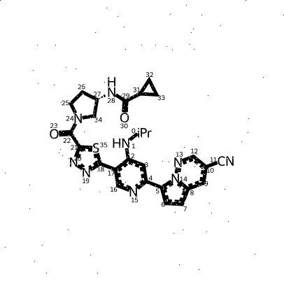 CC(C)Nc1cc(-c2ccc3cc(C#N)cnn23)ncc1-c1nnc(C(=O)N2CC[C@H](NC(=O)C3CC3)C2)s1